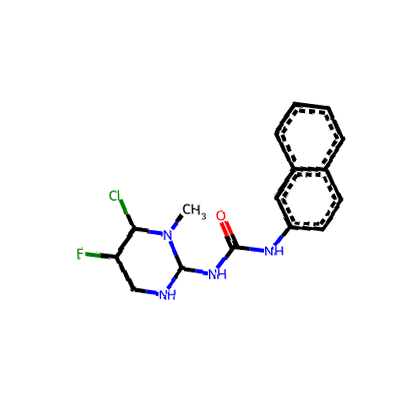 CN1C(NC(=O)Nc2ccc3ccccc3c2)NCC(F)C1Cl